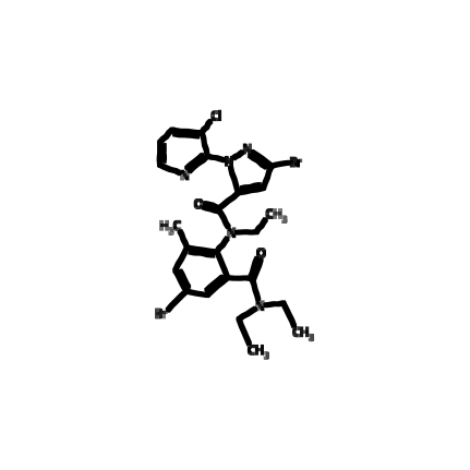 CCN(CC)C(=O)c1cc(Br)cc(C)c1N(CC)C(=O)c1cc(Br)nn1-c1ncccc1Cl